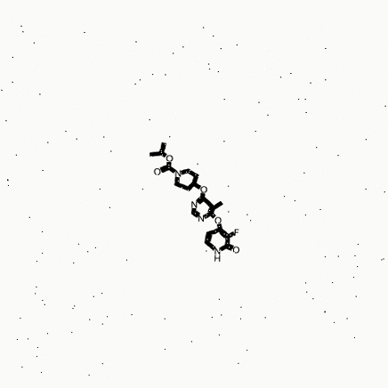 Cc1c(Oc2cc[nH]c(=O)c2F)ncnc1OC1CCN(C(=O)OC(C)C)CC1